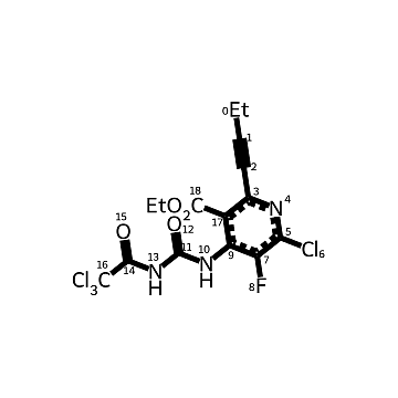 CCC#Cc1nc(Cl)c(F)c(NC(=O)NC(=O)C(Cl)(Cl)Cl)c1C(=O)OCC